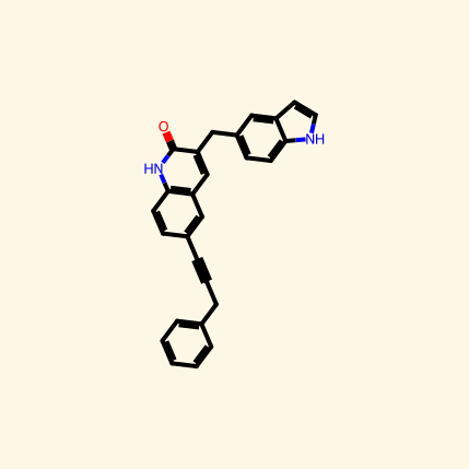 O=c1[nH]c2ccc(C#CCc3ccccc3)cc2cc1Cc1ccc2[nH]ccc2c1